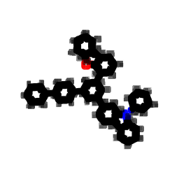 c1ccc(-c2ccc(-c3cc(-c4ccc5c6ccccc6n(-c6ccccc6)c5c4)cc(-c4cccc5c4oc4ccccc45)c3)cc2)cc1